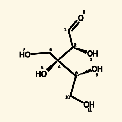 O=C[C@@H](O)[C@@](O)(CO)[C@H](O)CO